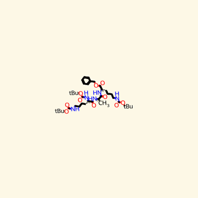 C[C@H](NC(=O)[C@H](CCCCNC(=O)OC(C)(C)C)NC(=O)OC(C)(C)C)C(=O)N[C@@H](CCCCNC(=O)OC(C)(C)C)C(=O)OCc1ccccc1